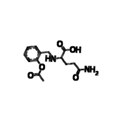 CC(=O)Oc1ccccc1CNC(CCC(N)=O)C(=O)O